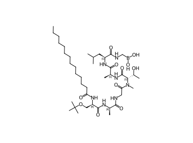 CCCCCCCCCCCCCC(=O)N[C@H](COC(C)(C)C)C(=O)N[C@H](C)C(=O)NCC(=O)N(C)[C@H](C(=O)N[C@@H](C)C(=O)N[C@@H](CC(C)C)C(=O)NCB(O)O)C(C)O